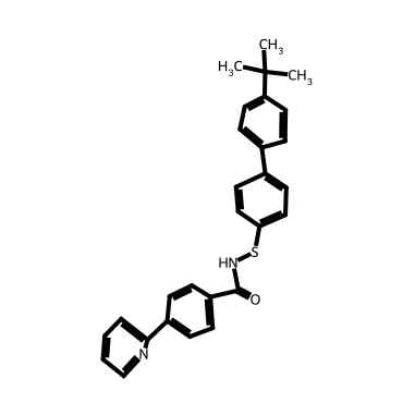 CC(C)(C)c1ccc(-c2ccc(SNC(=O)c3ccc(-c4ccccn4)cc3)cc2)cc1